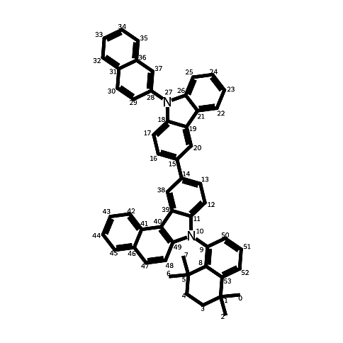 CC1(C)CCC(C)(C)c2c(-n3c4ccc(-c5ccc6c(c5)c5ccccc5n6-c5ccc6ccccc6c5)cc4c4c5ccccc5ccc43)cccc21